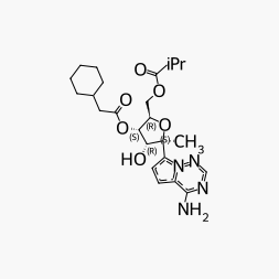 CC(C)C(=O)OC[C@H]1O[C@@](C)(c2ccc3c(N)ncnn23)[C@H](O)[C@@H]1OC(=O)CC1CCCCC1